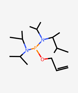 C=CCOP(N(C(C)C)C(C)C)N(C(C)C)C(C)C(C)C